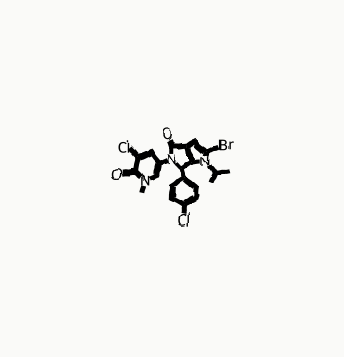 CC(C)n1c(Br)cc2c1C(c1ccc(Cl)cc1)N(c1cc(Cl)c(=O)n(C)c1)C2=O